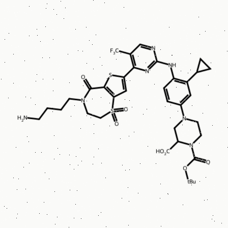 CC(C)(C)OC(=O)N1CCN(c2ccc(Nc3ncc(C(F)(F)F)c(-c4cc5c(s4)C(=O)N(CCCCN)CCS5(=O)=O)n3)c(C3CC3)c2)CC1C(=O)O